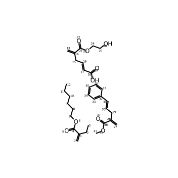 C=C(CC)C(=O)OCCCCCC.C=C(CC=CC(=O)O)C(=O)OCCO.C=C(CC=Cc1ccccc1)C(=O)OC